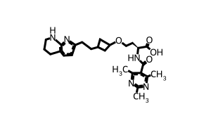 Cc1nc(C)c(C(=O)N[C@@H](CCOC2CC(CCc3ccc4c(n3)NCCC4)C2)C(=O)O)c(C)n1